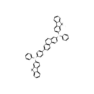 CC1(C)c2ccccc2-c2ccc(N(c3ccccc3)c3ccc(-c4ccc5c(ccc6cc(N(c7ccccc7)c7ccc8c(c7)C(C)(C)c7ccccc7-8)ccc65)c4)cc3)cc21